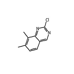 Cc1ccc2cnc(Cl)nc2c1C